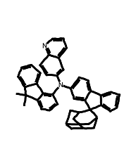 CC1(C)c2ccccc2-c2c(N(c3ccc4c(c3)C3(c5ccccc5-4)C4CC5CC(C4)CC3C5)c3ccc4ncccc4c3)cccc21